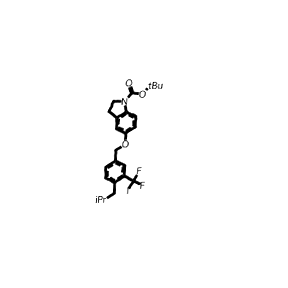 CC(C)Cc1ccc(COc2ccc3c(c2)CCN3C(=O)OC(C)(C)C)cc1C(F)(F)I